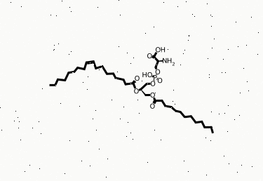 CCCCCCCC/C=C\CCCCCCCC(=O)O[C@H](COC(=O)CCCCCCCCCCCC)COP(=O)(O)OC[C@H](N)C(=O)O